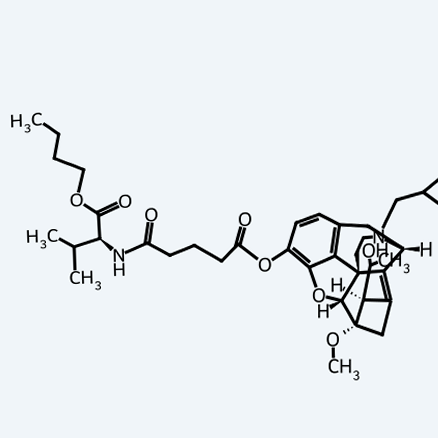 CCCCOC(=O)[C@@H](NC(=O)CCCC(=O)Oc1ccc2c3c1O[C@H]1[C@]4(OC)CC(=C5[C@@H](C2)N(CC2CC2)CC[C@]531)[C@@H]4C(C)O)C(C)C